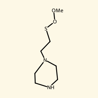 COOSCCN1CCNCC1